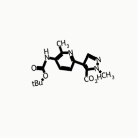 Cc1nc(-c2cnn(C)c2C(=O)O)ccc1NC(=O)OC(C)(C)C